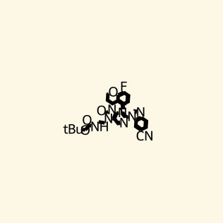 CC(C)(C)OC(=O)NCCn1c(=O)n([C@@H]2CCOc3c(F)ccc(F)c32)c2nc(-n3cnc4ccc(C#N)cc43)ncc21